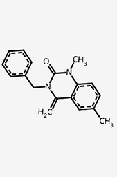 C=C1c2cc(C)ccc2N(C)C(=O)N1Cc1ccccc1